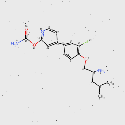 CC(C)CC(N)COc1ccc(-c2ccnc(OC(N)=O)c2)cc1F